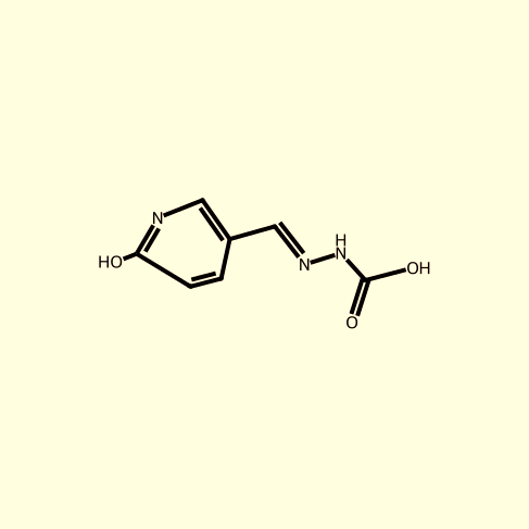 O=C(O)NN=Cc1ccc(O)nc1